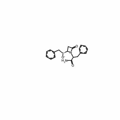 NC(=O)C(Cc1ccccc1)N1C(=O)CC1[S+]([O-])Cc1ccccc1